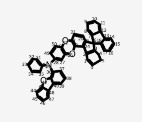 C1=CC2=C(CC1)C1(c3ccccc3-c3ccccc31)c1ccc3c(c12)Oc1cc(N(c2ccccc2)c2cccc4c2oc2ccccc24)ccc1O3